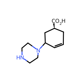 O=C(O)[C@H]1CC=CC(N2CCNCC2)C1